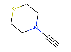 C#CN1CCSCC1